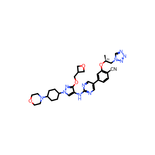 C[C@@H](Cn1cnnn1)Oc1cc(-c2cnc(Nc3cn(C4CCC(N5CCOCC5)CC4)nc3OCC3COC3)nc2)ccc1C#N